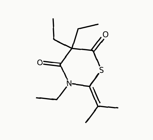 CCN1C(=O)C(CC)(CC)C(=O)SC1=C(C)C